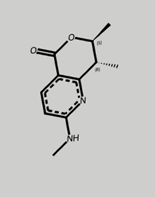 CNc1ccc2c(n1)[C@@H](C)[C@H](C)OC2=O